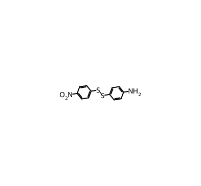 Nc1ccc(SSc2ccc([N+](=O)[O-])cc2)cc1